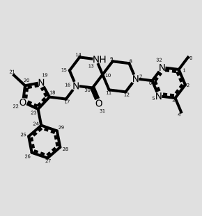 Cc1cc(C)nc(N2CCC3(CC2)NCCN(Cc2nc(C)oc2-c2ccccc2)C3=O)n1